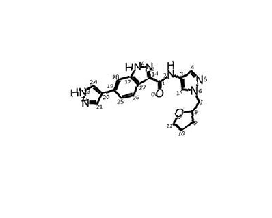 O=C(Nc1cnn(CC2CCCO2)c1)c1n[nH]c2cc(-c3cn[nH]c3)ccc12